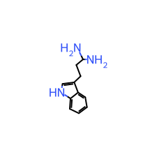 NC(N)CCc1c[nH]c2ccccc12